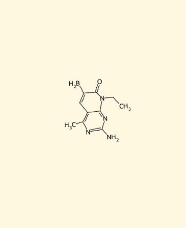 Bc1cc2c(C)nc(N)nc2n(CC)c1=O